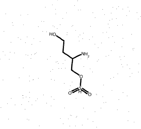 NC(CCO)CO[SH](=O)=O